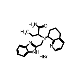 Br.CCC(C(N)=O)N(Cc1nc2ccccc2[nH]1)C1CCCc2cccnc21